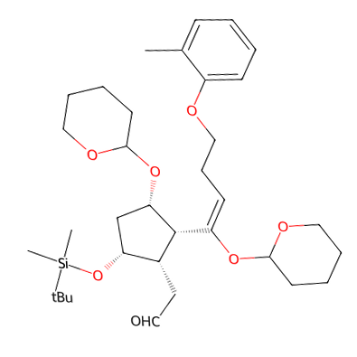 Cc1ccccc1OCC/C=C(/OC1CCCCO1)[C@@H]1[C@H](CC=O)[C@H](O[Si](C)(C)C(C)(C)C)C[C@@H]1OC1CCCCO1